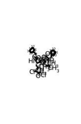 CC(C)C[C@H](NC(=O)OCc1ccccc1)C(=O)N[C@@H](CC(C)C)C(=O)N[C@@H](Cc1ccccc1)C(=O)O.O=C(CCl)CCl